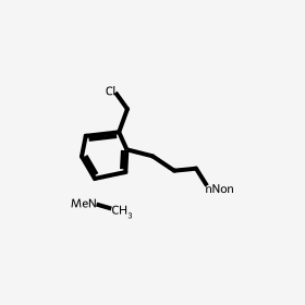 CCCCCCCCCCCCc1ccccc1CCl.CNC